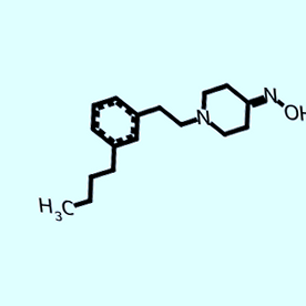 CCCCc1cccc(CCN2CCC(=NO)CC2)c1